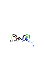 C=C(c1ccc(OCc2cccc(F)c2)c(OC)c1)N(CCCN)Cc1ccc(Cl)cc1